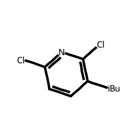 CCC(C)c1ccc(Cl)nc1Cl